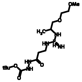 COCCOCC(C)N[PH](=N)NCCC(=O)NNC(=O)OC(C)(C)C